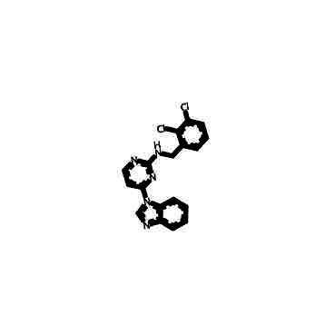 Clc1cccc(CNc2nccc(-n3cnc4ccccc43)n2)c1Cl